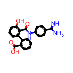 N=C(N)c1ccc(NC(=O)c2c(O)cccc2-c2ccccc2C(=O)O)cc1